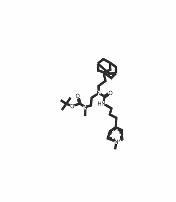 CN(CCN(CCC12CC3CC(CC(C3)C1)C2)C(=O)NCCCc1cc[n+](C)cc1)C(=O)OC(C)(C)C